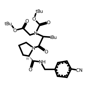 CCC(C)C(C(=O)N1CCC[C@H]1C(=O)NCc1ccc(C#N)cc1)N(CC(=O)OC(C)(C)C)C(=O)OC(C)(C)C